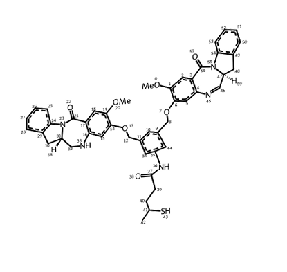 COc1cc2c(cc1OCc1cc(COc3cc4c(cc3OC)C(=O)N3c5ccccc5C[C@H]3CN4)cc(NC(=O)CCC(C)S)c1)N=C[C@@H]1Cc3ccccc3N1C2=O